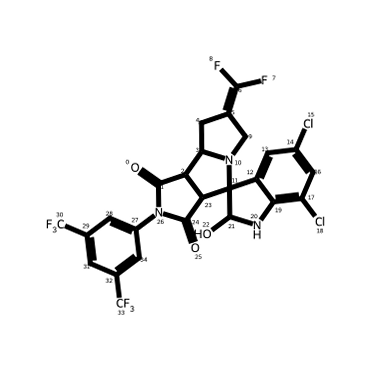 O=C1C2C3CC(=C(F)F)CN3C3(c4cc(Cl)cc(Cl)c4NC3O)C2C(=O)N1c1cc(C(F)(F)F)cc(C(F)(F)F)c1